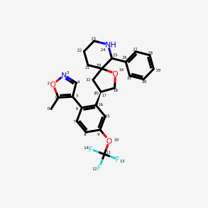 Cc1oncc1-c1ccc(OC(F)(F)F)cc1[C@@H]1COC2(CCCNC2c2ccccc2)C1